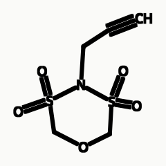 C#CCN1S(=O)(=O)COCS1(=O)=O